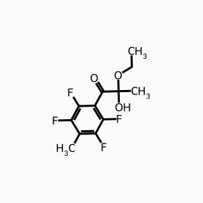 CCOC(C)(O)C(=O)c1c(F)c(F)c(C)c(F)c1F